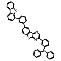 c1ccc(N(c2ccccc2)c2cccc(-c3cnc4c(n3)sc3ccc(-c5cccc(-c6cccc7c6sc6ccccc67)c5)cc34)c2)cc1